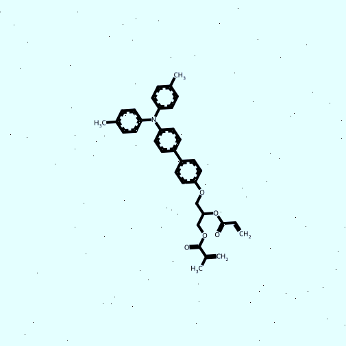 C=CC(=O)OC(COC(=O)C(=C)C)COc1ccc(-c2ccc(N(c3ccc(C)cc3)c3ccc(C)cc3)cc2)cc1